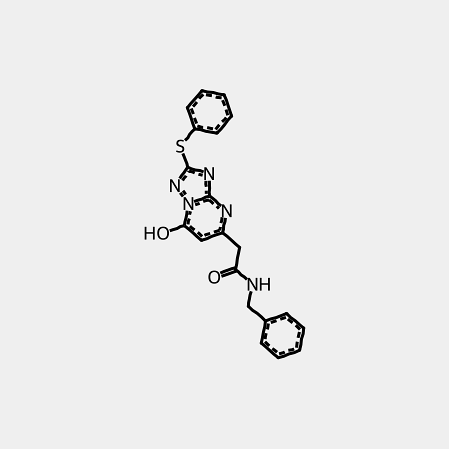 O=C(Cc1cc(O)n2nc(Sc3ccccc3)nc2n1)NCc1ccccc1